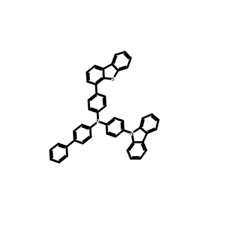 c1ccc(-c2ccc(N(c3ccc(-c4cccc5c4sc4ccccc45)cc3)c3ccc(-n4c5ccccc5c5ccccc54)cc3)cc2)cc1